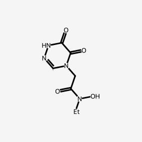 CCN(O)C(=O)Cn1[c]n[nH]c(=O)c1=O